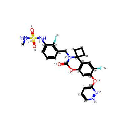 CNS(=O)(=O)Nc1cccc(CN2C(=O)Oc3cc(Oc4cccnn4)c(F)cc3C23CCC3)c1F